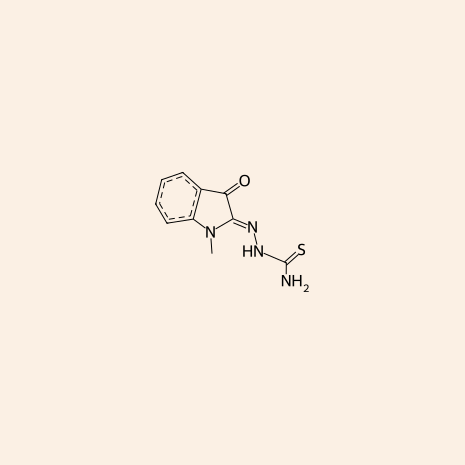 CN1C(=NNC(N)=S)C(=O)c2ccccc21